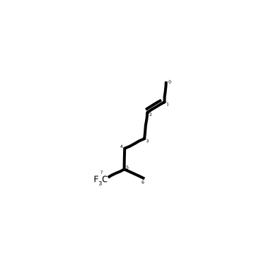 CC=CCCC(C)C(F)(F)F